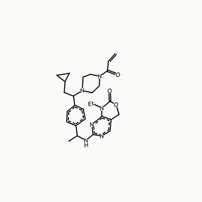 C=CC(=O)N1CCN(C(CC2CC2)c2ccc(C(C)Nc3ncc4c(n3)N(CC)C(=O)OC4)cc2)CC1